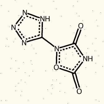 O=c1[nH]c(=O)n(-c2nnn[nH]2)o1